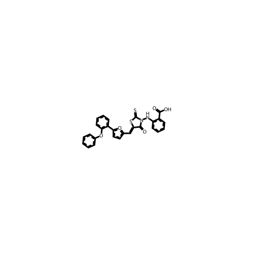 O=C(O)c1ccccc1NN1C(=O)/C(=C/c2ccc(-c3ccccc3Oc3ccccc3)o2)SC1=S